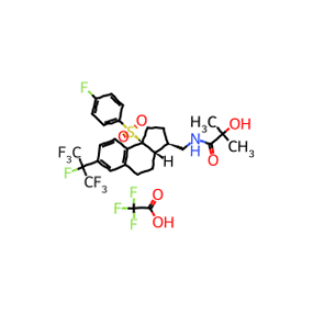 CC(C)(O)C(=O)NC[C@@H]1CC[C@@]2(S(=O)(=O)c3ccc(F)cc3)c3ccc(C(F)(C(F)(F)F)C(F)(F)F)cc3CC[C@@H]12.O=C(O)C(F)(F)F